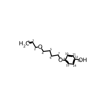 C=CCOCCCCOc1ccc(O)cc1